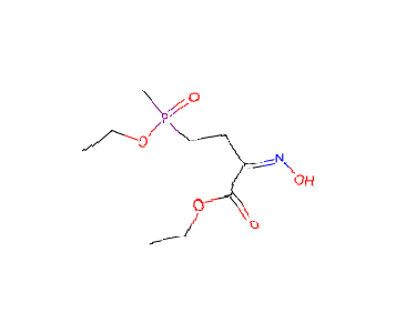 CCOC(=O)/C(CCP(C)(=O)OCC)=N\O